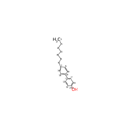 CCCCCCCc1ccc(-c2ccc(O)cc2)cc1